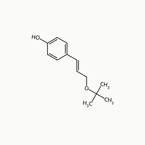 CC(C)(C)OC/C=C/c1ccc(O)cc1